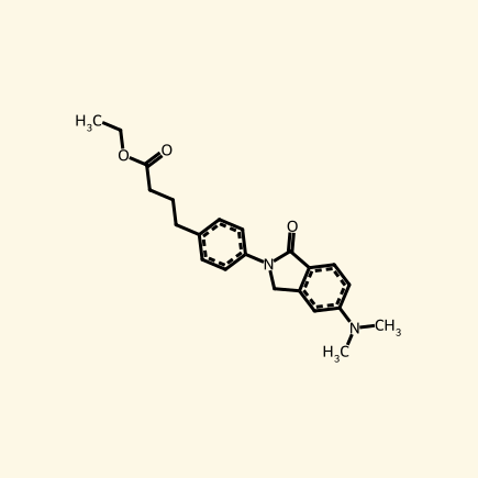 CCOC(=O)CCCc1ccc(N2Cc3cc(N(C)C)ccc3C2=O)cc1